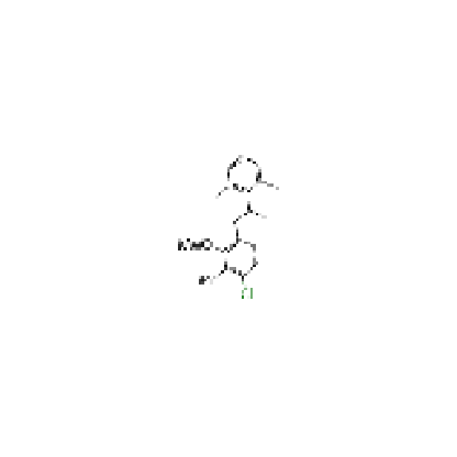 COc1c(CC(C)c2c(C)cccc2C)ccc(Cl)c1C(C)C